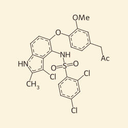 COc1cc(CC(C)=O)ccc1Oc1ccc2[nH]c(C)c(Cl)c2c1NS(=O)(=O)c1ccc(Cl)cc1Cl